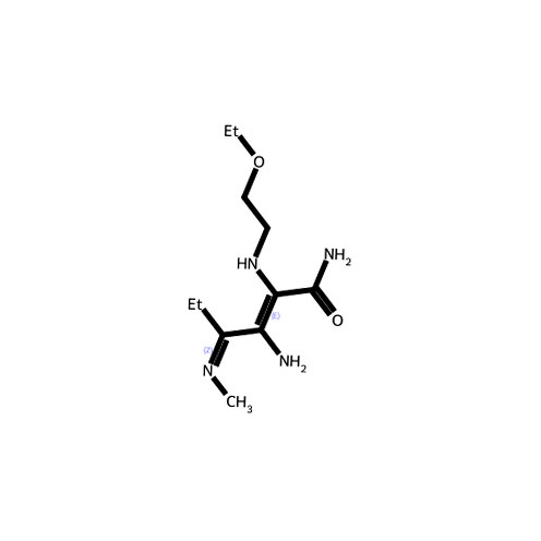 CCOCCN/C(C(N)=O)=C(N)\C(CC)=N/C